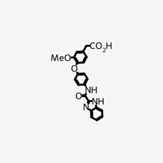 COc1cc(CC(=O)O)ccc1Oc1ccc(NC(=O)c2nc3ccccc3[nH]2)cc1